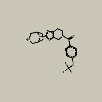 O=C(c1ccc(OC(F)(F)F)cc1)N1CCc2nc(N3C4CCC3CNC4)sc2C1